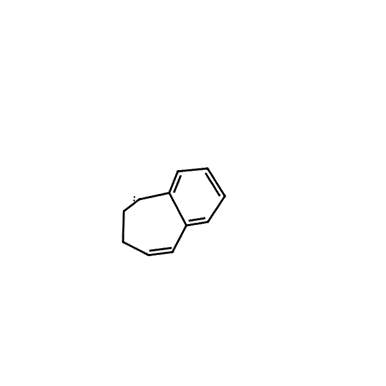 [C]1CCC=Cc2ccccc21